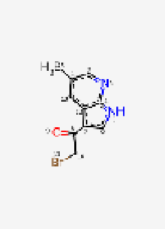 Bc1cnc2[nH]cc(C(=O)CBr)c2c1